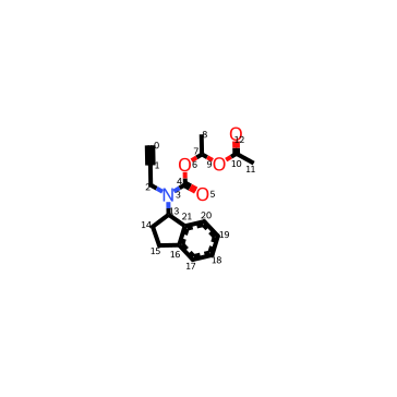 C#CCN(C(=O)OC(C)OC(C)=O)C1CCc2ccccc21